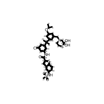 CC(C)Oc1cc(CN2CCSC(O)(O)C2)cc(C(C)(C)c2cc(Cl)cc(NC(=O)c3cc4cc(NS(C)(=O)=O)ccc4s3)c2)c1